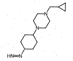 N=NC1CCC(N2CCN(CC3CC3)CC2)CC1